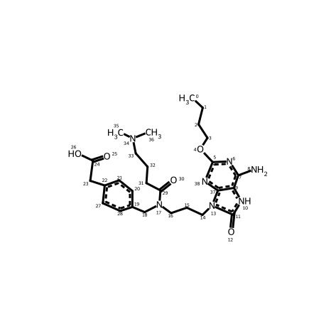 CCCCOc1nc(N)c2[nH]c(=O)n(CCCN(Cc3ccc(CC(=O)O)cc3)C(=O)CCCN(C)C)c2n1